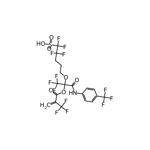 C=C(C(=O)OC(OCCCC(F)(F)C(F)(F)S(=O)(=O)O)(C(=O)Nc1ccc(C(F)(F)F)cc1)C(F)(F)F)C(F)(F)F